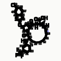 O=C1N[C@]2(C(=O)O)C[C@H]2/C=C\CCCCC[C@H](Nc2cccc(C(F)(F)F)c2)C(=O)N2C[C@H](Oc3nc4ccc(Cl)cc4s3)C[C@@H]12